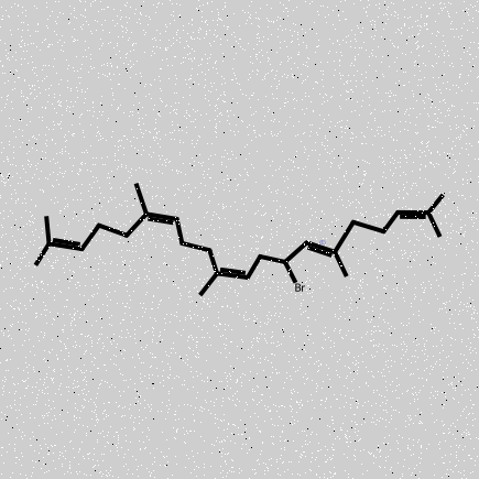 CC(C)=CCCC(C)=CCCC(C)=CCC(Br)/C=C(\C)CCC=C(C)C